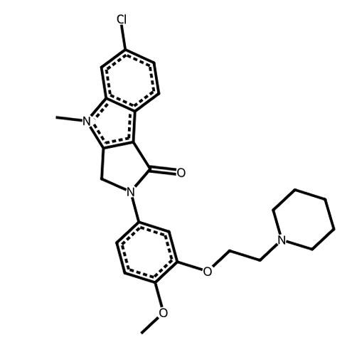 COc1ccc(N2Cc3c(c4ccc(Cl)cc4n3C)C2=O)cc1OCCN1CCCCC1